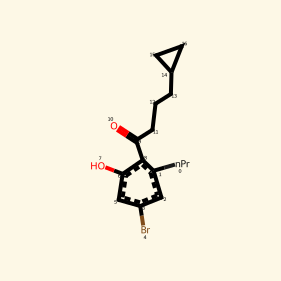 CCCc1cc(Br)cc(O)c1C(=O)CCCC1CC1